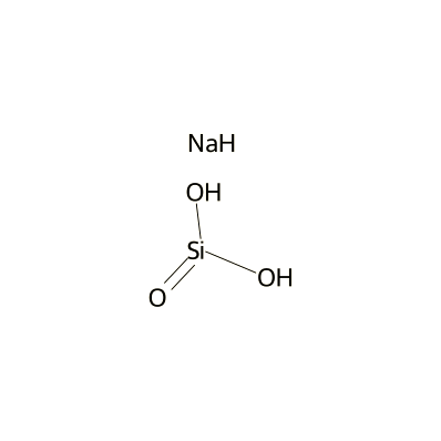 O=[Si](O)O.[NaH]